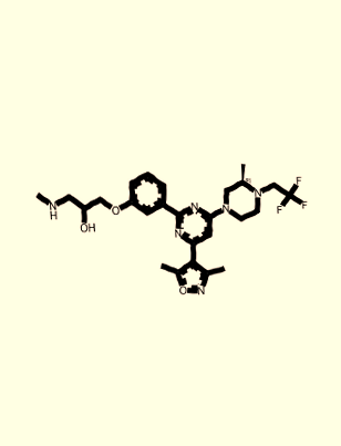 CNCC(O)COc1cccc(-c2nc(-c3c(C)noc3C)cc(N3CCN(CC(F)(F)F)[C@H](C)C3)n2)c1